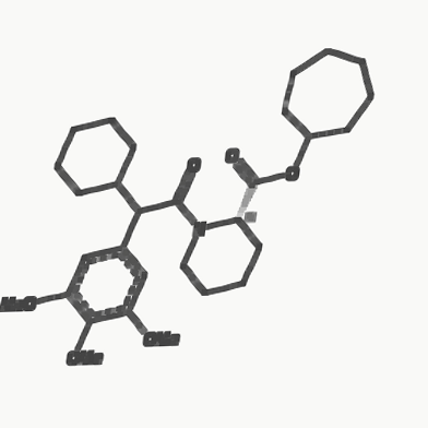 COc1cc(C(C(=O)N2CCCC[C@H]2C(=O)OC2CCCCCC2)C2CCCCC2)cc(OC)c1OC